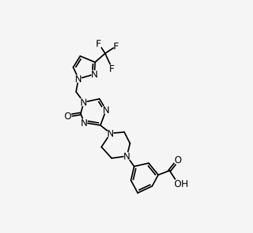 O=C(O)c1cccc(N2CCN(c3ncn(Cn4ccc(C(F)(F)F)n4)c(=O)n3)CC2)c1